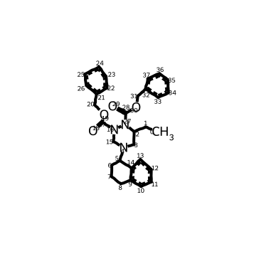 CCC1CN(C2CCCc3ccccc32)CN(C(=O)OCc2ccccc2)N1C(=O)OCc1ccccc1